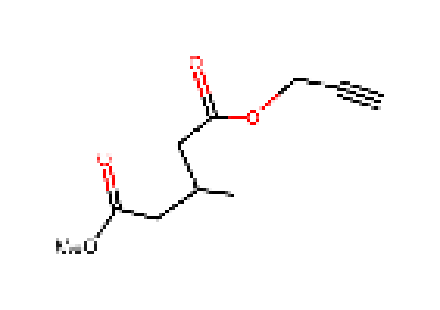 C#CCOC(=O)CC(C)CC(=O)OC